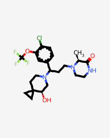 C[C@H]1C(=O)NCCN1CCC(c1ccc(Cl)c(OC(F)(F)F)c1)N1CCC2(CC2)[C@H](O)C1